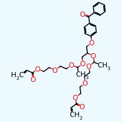 C=CC(=O)OCCOCCOC(C)OCC(COc1ccc(C(=O)c2ccccc2)cc1)OC(C)OCCOCCOC(=O)C=C